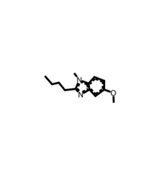 CCCCc1nc2cc(OC)ccc2n1C